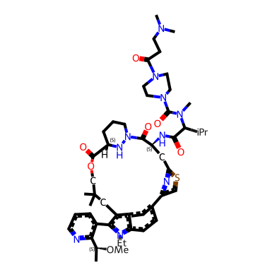 CCn1c(-c2cccnc2[C@H](C)OC)c2c3cc(ccc31)-c1csc(n1)C[C@H](NC(=O)C(C(C)C)N(C)C(=O)N1CCN(C(=O)CCN(C)C)CC1)C(=O)N1CCC[C@H](N1)C(=O)OCC(C)(C)C2